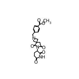 COC(=O)c1ccc(CN2CC3(CC(=O)N(C4CCC(=O)NC4=O)C3=O)C2)cc1